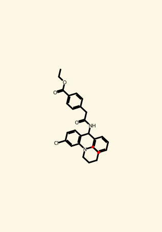 CCOC(=O)c1ccc(CC(=O)NC(c2ccccc2)c2ccc(Cl)cc2N2CCCCC2)cc1